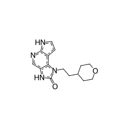 O=c1[nH]c2cnc3[nH]ccc3c2n1CCC1CCOCC1